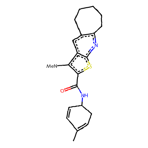 CNc1c(C(=O)NC2C=CC(C)=CC2)sc2nc3c(cc12)CCCCC3